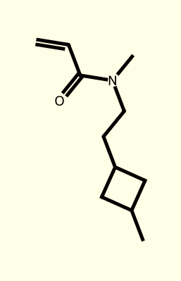 C=CC(=O)N(C)CCC1CC(C)C1